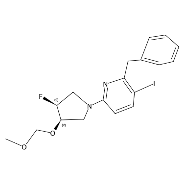 COCO[C@@H]1CN(c2ccc(I)c(Cc3ccccc3)n2)C[C@@H]1F